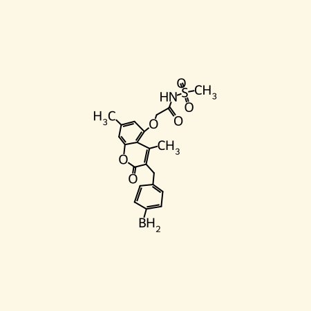 Bc1ccc(Cc2c(C)c3c(OCC(=O)NS(C)(=O)=O)cc(C)cc3oc2=O)cc1